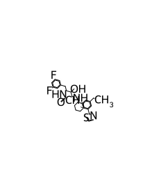 CCc1cc(-c2nccs2)c2c(c1)C(NCC(O)C(Cc1cc(F)cc(F)c1)NC(C)=O)CCC2